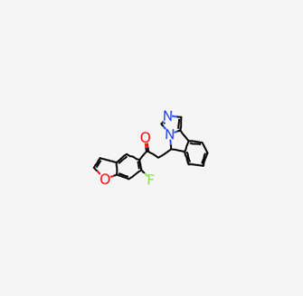 O=C(CC1c2ccccc2-c2cncn21)c1cc2ccoc2cc1F